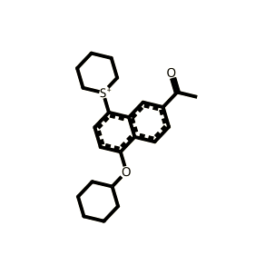 CC(=O)c1ccc2c(OC3CCCCC3)ccc([S+]3CCCCC3)c2c1